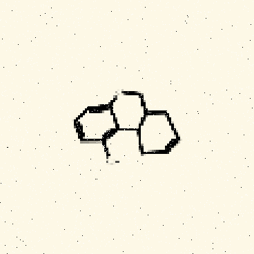 Oc1cccc2c1C1CC=CCC1CO2